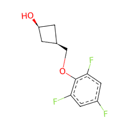 O[C@H]1C[C@@H](COc2c(F)cc(F)cc2F)C1